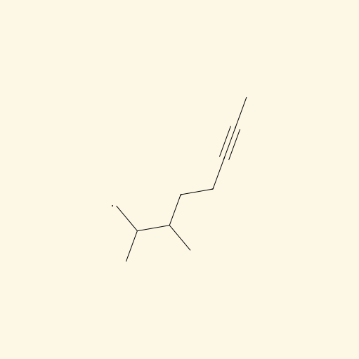 [CH2]C(C)C(C)CCC#CC